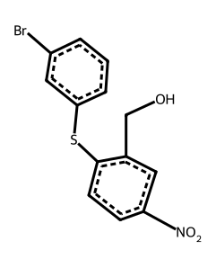 O=[N+]([O-])c1ccc(Sc2cccc(Br)c2)c(CO)c1